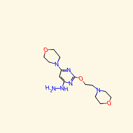 NNc1cc(N2CCOCC2)nc(OCCN2CCOCC2)n1